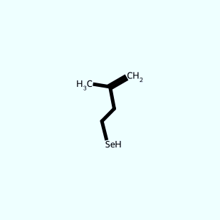 C=C(C)CC[SeH]